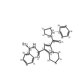 CC[C@@H](NC(=O)c1cc(C(=O)N2CCC[C@@H]2c2ccccc2)n2c1CCCC2)c1ccccc1